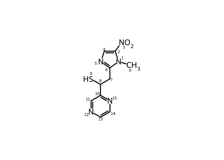 Cn1c([N+](=O)[O-])cnc1CC(S)c1cnccn1